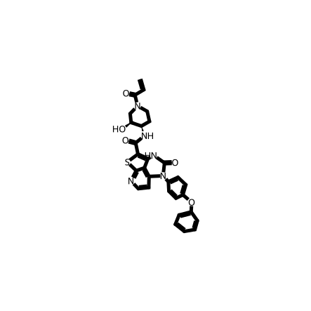 C=CC(=O)N1CC[C@H](NC(=O)c2sc3nccc4c3c2NC(=O)N4c2ccc(Oc3ccccc3)cc2)[C@@H](O)C1